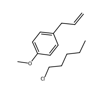 C=CCc1ccc(OC)cc1.CCCCCCl